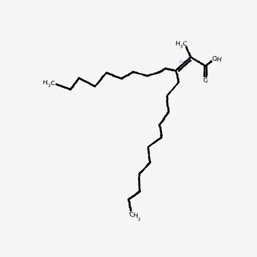 CCCCCCCCCCC/C(CCCCCCCCC)=C(/C)C(=O)O